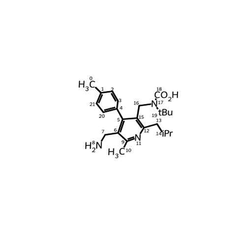 Cc1ccc(-c2c(CN)c(C)nc(CC(C)C)c2CN(C(=O)O)C(C)(C)C)cc1